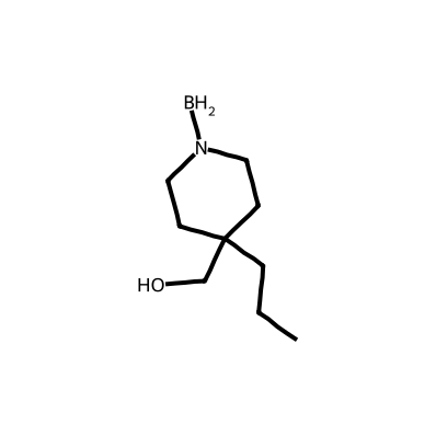 BN1CCC(CO)(CCC)CC1